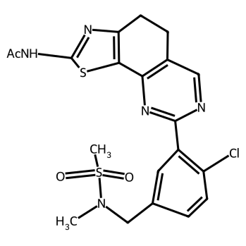 CC(=O)Nc1nc2c(s1)-c1nc(-c3cc(CN(C)S(C)(=O)=O)ccc3Cl)ncc1CC2